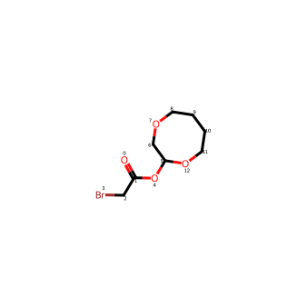 O=C(CBr)OC1COCCCCO1